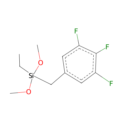 CC[Si](Cc1cc(F)c(F)c(F)c1)(OC)OC